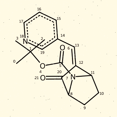 CC(C)(C)OC(=O)N1C2CCC1/C(=C/c1cccnc1)C2=O